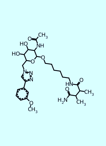 COc1cccc(-c2cn(CC3OC(OCCCCCCNC(=O)C(C)C(C)C(N)=O)C(NC(C)=O)C(O)C3O)nn2)c1